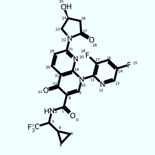 O=C(NC(C1CC1)C(F)(F)F)c1cn(-c2ncc(F)cc2F)c2nc(N3C[C@@H](O)CC3=O)ccc2c1=O